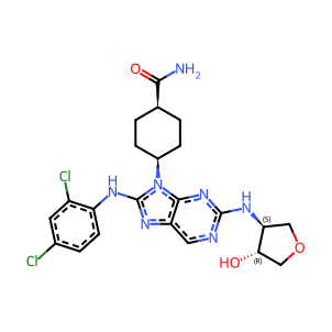 NC(=O)[C@H]1CC[C@@H](n2c(Nc3ccc(Cl)cc3Cl)nc3cnc(N[C@H]4COC[C@@H]4O)nc32)CC1